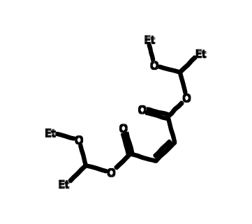 CCOC(CC)OC(=O)/C=C\C(=O)OC(CC)OCC